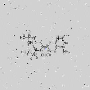 C=C(S/C(CCOP(=O)(O)O)=C(/C)N(C=O)Cc1cnc(C)nc1N)C(C)(C)C(=O)O